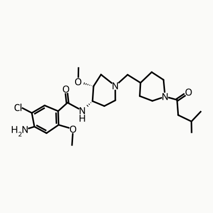 COc1cc(N)c(Cl)cc1C(=O)N[C@H]1CCN(CC2CCN(C(=O)CC(C)C)CC2)C[C@H]1OC